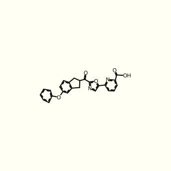 O=C(O)c1cccc(-c2cnc(C(=O)C3Cc4ccc(Oc5ccccc5)cc4C3)o2)n1